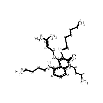 CCCCCCOc1c(OCC=C(C)C)c2c(NCCCCC)cccc2n(CCCC)c1=O